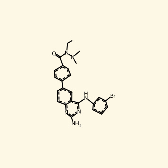 CCN(C(=O)c1ccc(-c2ccc3nc(N)nc(Nc4cccc(Br)c4)c3c2)cc1)N(C)C